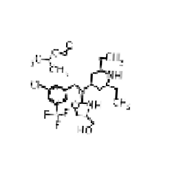 CC(C)OC=O.CCC1CC(N(Cc2cc(Cl)cc(C(F)(F)F)c2)C2NC(CO)CO2)CC(CC)N1